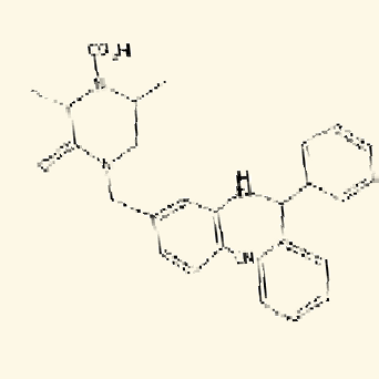 CC1CN(Cc2ccc(C#N)c(NC(c3ccccc3)c3ccccc3)c2)C(=O)[C@H](C)N1C(=O)O